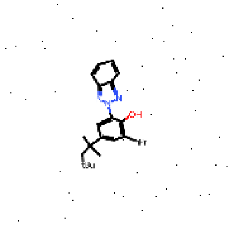 CC(C)c1cc(C(C)(C)CC(C)(C)C)cc(-n2nc3ccccc3n2)c1O